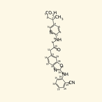 CC(CC(=O)O)c1ccc(NCC(=O)Cc2ccc3nc(Nc4ccccc4C#N)oc3c2)nc1